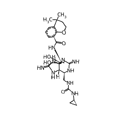 CC1(C)CCOc2c(C(=O)N[C@H]3CN4C(=N)N[C@@H](CNC(=O)NC5CC5)[C@@H]5NC(=N)N[C@@]54C3(O)O)cccc21